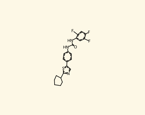 O=C(Nc1ccc(-c2cnc(C3CCCCC3)s2)cc1)Nc1cc(F)c(F)cc1F